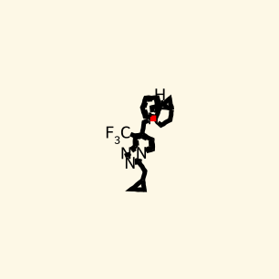 FC(F)(F)c1c(CN2CC[C@@]3(c4ccccc4)C[C@H]3C2)ccn2c(CC3CC3)nnc12